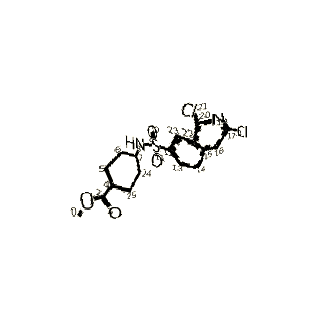 COC(=O)C1CCC(NS(=O)(=O)c2ccc3cc(Cl)nc(Cl)c3c2)CC1